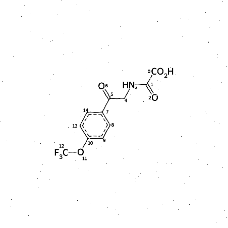 O=C(O)C(=O)NCC(=O)c1ccc(OC(F)(F)F)cc1